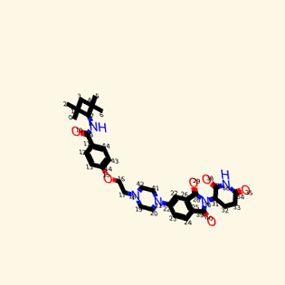 CC1(C)CC(C)(C)C1NC(=O)c1ccc(OCCN2CCN(c3ccc4c(c3)C(=O)N(C3CCC(=O)NC3=O)C4=O)CC2)cc1